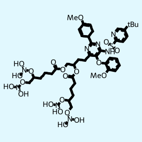 COC1=CCC(c2nc(CCC(COC(=O)CCCC(CON(O)O)ON(O)O)OC(=O)CCCC(CON(O)O)ON(O)O)c(Oc3ccccc3OC)c(NS(=O)(=O)c3ccc(C(C)(C)C)cn3)n2)C=C1